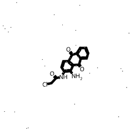 Nc1c(NC(=O)CCl)ccc2c1C(=O)c1ccccc1C2=O